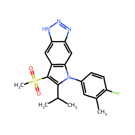 Cc1cc(-n2c(C(C)C)c(S(C)(=O)=O)c3cc4[nH]nnc4cc32)ccc1F